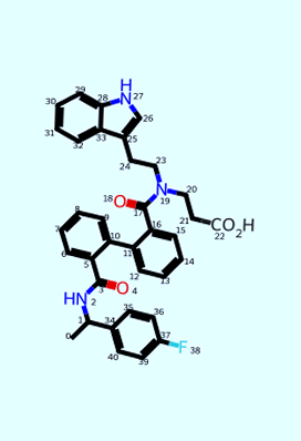 CC(NC(=O)c1ccccc1-c1ccccc1C(=O)N(CCC(=O)O)CCc1c[nH]c2ccccc12)c1ccc(F)cc1